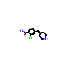 NC(=O)c1ccc(C=C2CCNCC2)cc1Cl